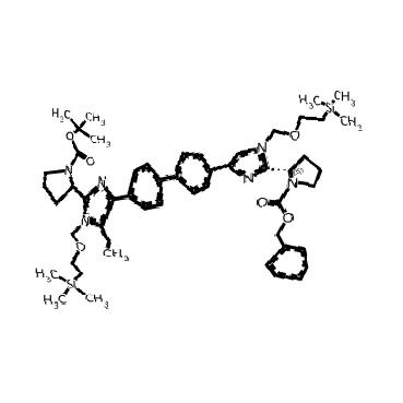 CCc1c(-c2ccc(-c3ccc(-c4cn(COCC[Si](C)(C)C)c([C@@H]5CCCN5C(=O)OCc5ccccc5)n4)cc3)cc2)nc(C2CCCN2C(=O)OC(C)(C)C)n1COCC[Si](C)(C)C